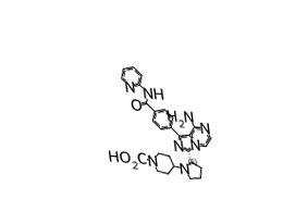 Nc1nccn2c([C@@H]3CCCN3C3CCN(C(=O)O)CC3)nc(-c3ccc(C(=O)Nc4ccccn4)cc3)c12